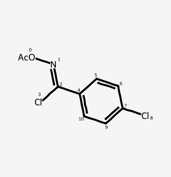 CC(=O)ON=C(Cl)c1ccc(Cl)cc1